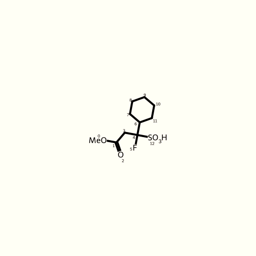 COC(=O)CC(F)(C1CCCCC1)S(=O)(=O)O